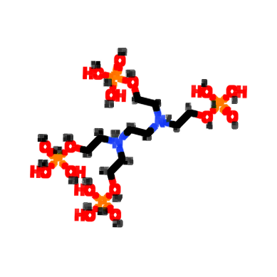 O=P(O)(O)OCCN(CCOP(=O)(O)O)CCN(CCOP(=O)(O)O)CCOP(=O)(O)O